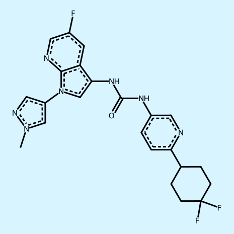 Cn1cc(-n2cc(NC(=O)Nc3ccc(C4CCC(F)(F)CC4)nc3)c3cc(F)cnc32)cn1